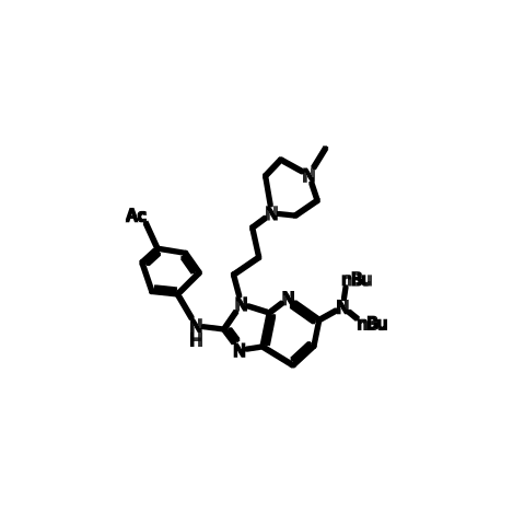 CCCCN(CCCC)c1ccc2nc(Nc3ccc(C(C)=O)cc3)n(CCCN3CCN(C)CC3)c2n1